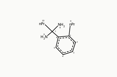 CCCc1ccccc1C(N)(N)CCC